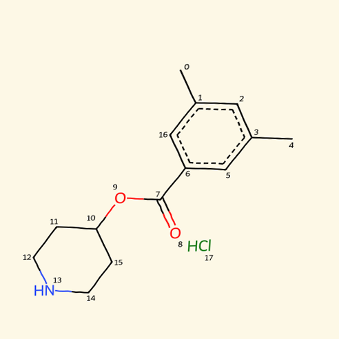 Cc1cc(C)cc(C(=O)OC2CCNCC2)c1.Cl